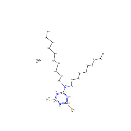 CCCCCCCCCCN(CCCCCCCCCC)c1nc(S)nc(S)n1.[NaH]